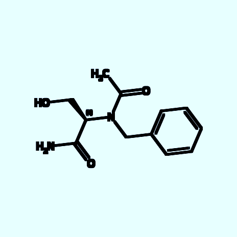 CC(=O)N(Cc1ccccc1)[C@H](CO)C(N)=O